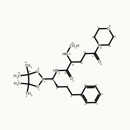 CC1(C)OB([C@H](CCCc2ccccc2)NC(=O)C(CCC(=O)N2CCOCC2)NC(=O)O)OC1(C)C